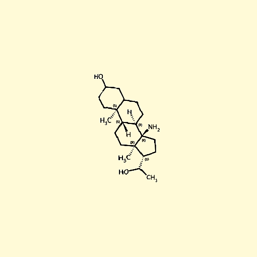 CC(O)[C@H]1CC[C@@]2(N)[C@@H]3CCC4CC(O)CC[C@]4(C)[C@H]3CC[C@]12C